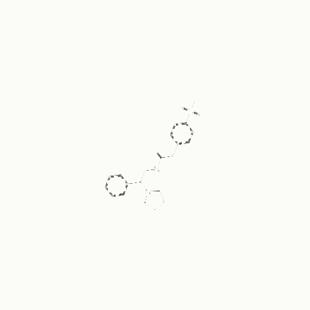 CN(CC(c1ccccc1)N1CCCC1)C(=O)Cc1ccc(S(C)(=O)=O)cc1